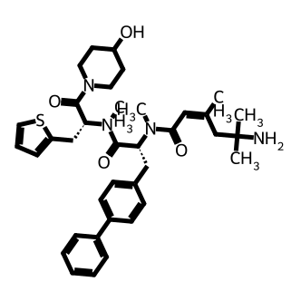 CC(=CC(=O)N(C)[C@H](Cc1ccc(-c2ccccc2)cc1)C(=O)N(C)[C@H](Cc1cccs1)C(=O)N1CCC(O)CC1)CC(C)(C)N